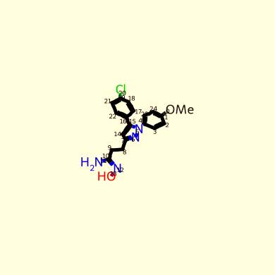 COc1ccc(-n2nc(CCC(N)=NO)cc2-c2ccc(Cl)cc2)cc1